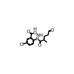 CC(CCC=O)C(=O)N(N)c1ccc(Cl)cc1C(=O)O